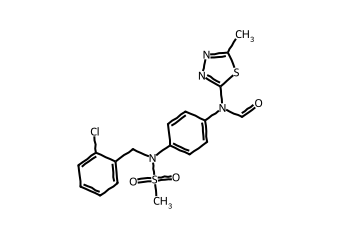 Cc1nnc(N(C=O)c2ccc(N(Cc3ccccc3Cl)S(C)(=O)=O)cc2)s1